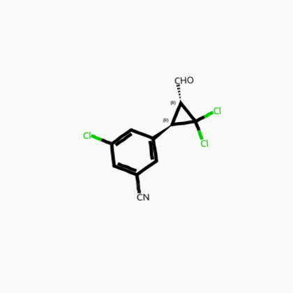 N#Cc1cc(Cl)cc([C@H]2[C@H](C=O)C2(Cl)Cl)c1